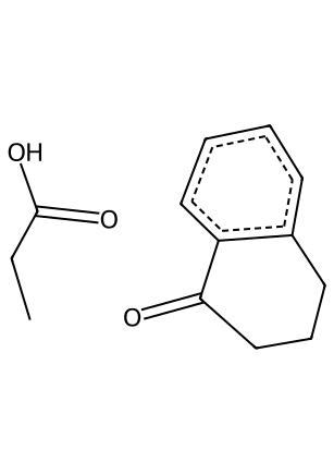 CCC(=O)O.O=C1CCCc2ccccc21